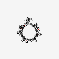 C#CC[C@H](NC(=O)CNC(=O)[C@@H]1CSCC(=O)N[C@@H](Cc2cc(F)c(F)c(F)c2)C(=O)N(C)[C@@H](Cc2ccccc2)C(=O)N(C)[C@@H](CCCC)C(=O)N2C[C@H](O)C[C@@H]2C(=O)N[C@@H](COC=O)C(=O)N[C@@H](C(C)C)C(=O)N(C)[C@@H](Cc2ccccc2)C(=O)N[C@@H](COC=O)C(=O)N2CCC[C@@H]2C(=O)N[C@@H](Cc2c[nH]c3ccccc23)C(=O)N[C@@H](Cc2ccc(O)cc2)C(=O)N[C@@H](CC(C)C)C(=O)N1)C(N)=O